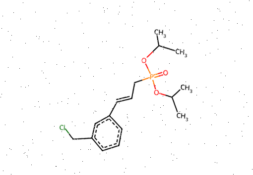 CC(C)OP(=O)(CC=Cc1cccc(CCl)c1)OC(C)C